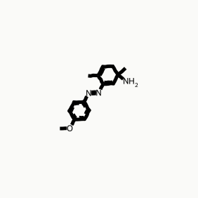 COc1ccc(N=NC2=CC(C)(N)CC=C2C)cc1